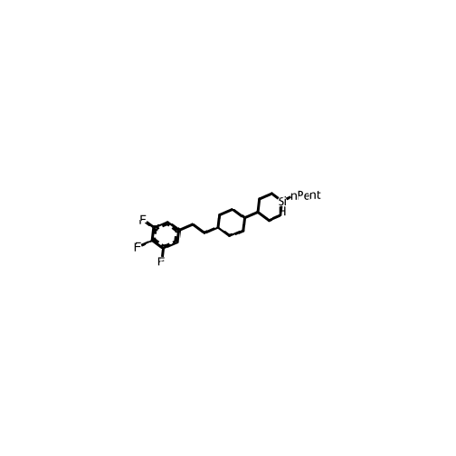 CCCCC[SiH]1CCC(C2CCC(CCc3cc(F)c(F)c(F)c3)CC2)CC1